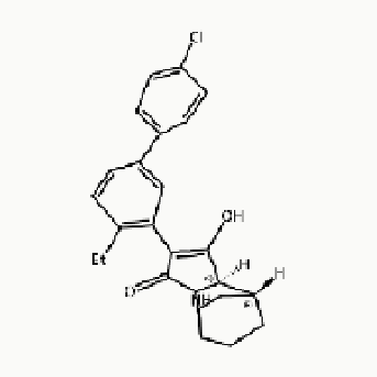 CCc1ccc(-c2ccc(Cl)cc2)cc1C1=C(O)[C@@H]2C(C1=O)C1CC[C@@H]2CC1=N